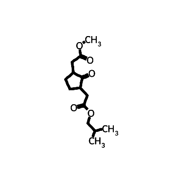 COC(=O)CC1CCC(CC(=O)OCC(C)C)C1=O